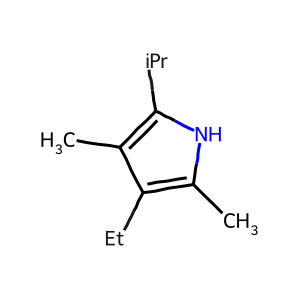 CCc1c(C)[nH]c(C(C)C)c1C